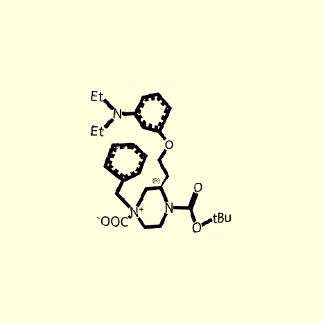 CCN(CC)c1cccc(OCC[C@@H]2C[N+](Cc3ccccc3)(C(=O)[O-])CCN2C(=O)OC(C)(C)C)c1